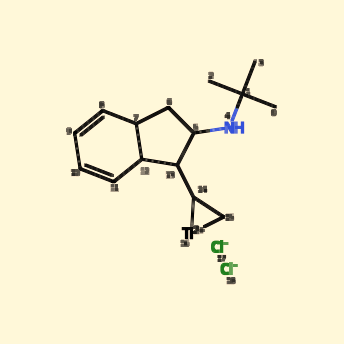 CC(C)(C)NC1CC2C=CC=CC2C1[CH]1[CH2][Ti+2]1.[Cl-].[Cl-]